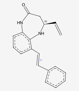 C=C[C@@H]1CC(=O)Nc2cccc(/C=C/c3ccccc3)c2N1